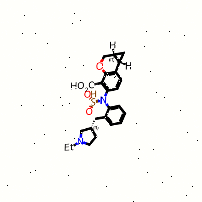 CCN1CC[C@@H](Cc2ccccc2N(c2ccc3c(c2C(=O)O)OC[C@@H]2C[C@H]32)[SH](=O)=O)C1